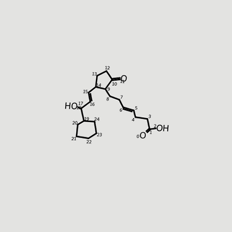 O=C(O)CCC=CCCC1C(=O)CCC1C=CC(O)C1CCCCC1